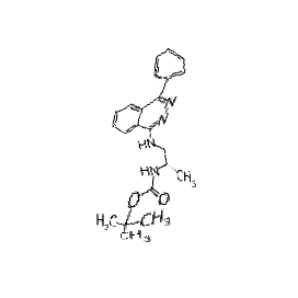 C[C@@H](CNc1nnc(-c2ccccc2)c2ccccc12)NC(=O)OC(C)(C)C